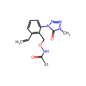 C=Cc1cccc(-n2nnn(C)c2=O)c1CONC(=O)CC